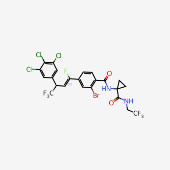 O=C(NC1(C(=O)NCC(F)(F)F)CC1)c1ccc(/C(F)=C/C(c2cc(Cl)c(Cl)c(Cl)c2)C(F)(F)F)cc1Br